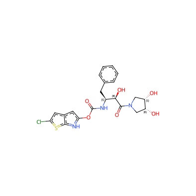 O=C(N[C@@H](Cc1ccccc1)[C@@H](O)C(=O)N1C[C@@H](O)[C@@H](O)C1)Oc1cc2cc(Cl)sc2[nH]1